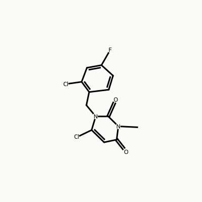 Cn1c(=O)cc(Cl)n(Cc2ccc(F)cc2Cl)c1=O